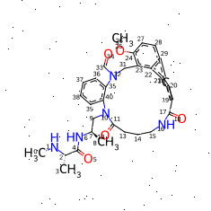 CN[C@@H](C)C(=O)N[C@H](C)CN1C(=O)CCCNC(=O)c2ccc3c(c(OC)ccc3c2)CN(C=O)c2ccccc21